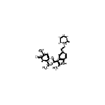 Cc1[nH]c2ccc(CCN3CCCCC3)cc2c1C(=O)OC(C)c1ccc(Cl)c(Cl)c1